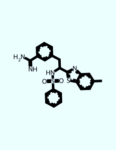 Cc1ccc2sc(C(Cc3cccc(C(=N)N)c3)NS(=O)(=O)c3ccccc3)nc2c1